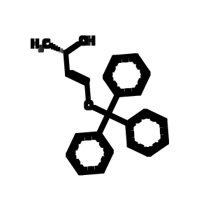 C[C@H](O)C=COC(c1ccccc1)(c1ccccc1)c1ccccc1